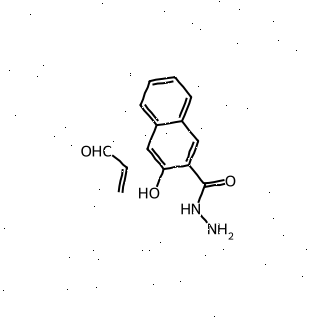 C=CC=O.NNC(=O)c1cc2ccccc2cc1O